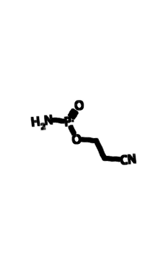 N#CCCO[P](N)=O